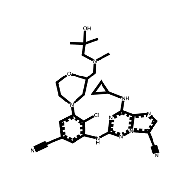 CN(CC1CN(c2cc(C#N)cc(Nc3nc(NC4CC4)c4ncc(C#N)n4n3)c2Cl)CCO1)CC(C)(C)O